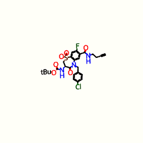 C#CCCNC(=O)c1cc2c(cc1F)S(=O)(=O)C[C@H](NC(=O)OC(C)(C)C)C(=O)N2Cc1ccc(Cl)cc1